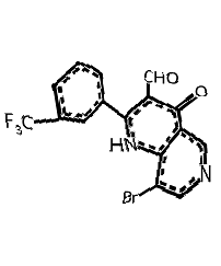 O=Cc1c(-c2cccc(C(F)(F)F)c2)[nH]c2c(Br)cncc2c1=O